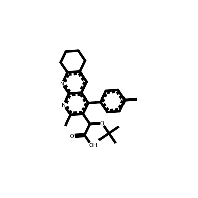 Cc1ccc(-c2c(C(OC(C)(C)C)C(=O)O)c(C)nc3nc4c(cc23)CCCC4)cc1